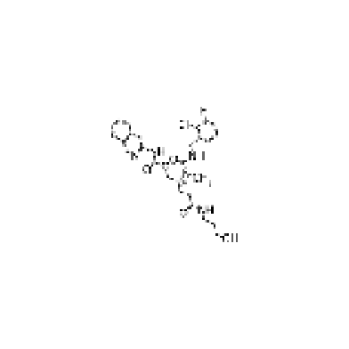 CN(C(=O)NCc1cccc(F)c1Cl)[C@@H](CCC(=O)NCCCO)COC(=O)Nc1cc2ccccc2cn1